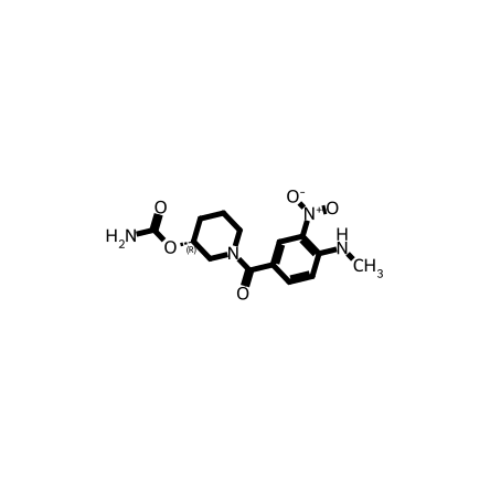 CNc1ccc(C(=O)N2CCC[C@@H](OC(N)=O)C2)cc1[N+](=O)[O-]